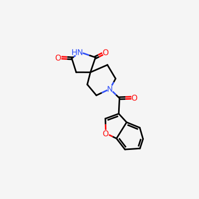 O=C1CC2(CCN(C(=O)c3coc4ccccc34)CC2)C(=O)N1